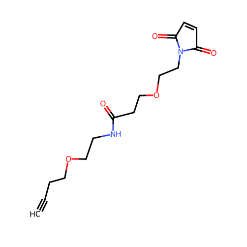 C#CCCOCCNC(=O)CCOCCN1C(=O)C=CC1=O